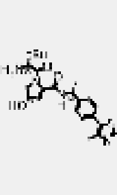 Cc1ncsc1-c1ccc([C@H](C)NC(=O)C2=C[C@@H](O)CN2C(=O)[C@@H](N)C(C)(C)C)cc1